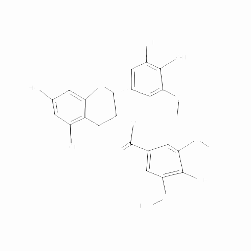 COc1cc([C@H]2Oc3cc(O)cc(O)c3C[C@H]2OC(=O)c2cc(OC)c(O)c(OC)c2)cc(O)c1O